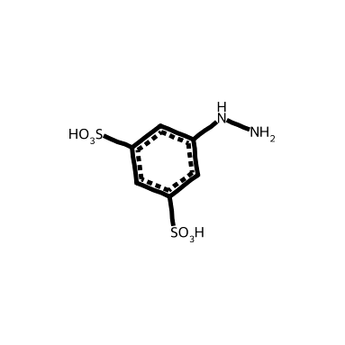 NNc1cc(S(=O)(=O)O)cc(S(=O)(=O)O)c1